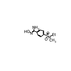 CCN(C)S(=O)(=O)c1ccc(C(N)=NO)cc1